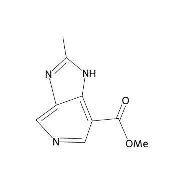 COC(=O)c1cncc2nc(C)[nH]c12